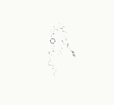 [N-]=[N+]=NCCC(=O)N[C@@H](CCCCN)C(=O)NC[C@H](NC(=O)C(CC(=O)O)NC(=O)C(CC(=O)O)NC(=O)Cc1ccc(CNC(=O)NCCCC[C@H](NC(=O)N[C@@H](CCC(=O)O)C(=O)O)C(=O)O)cc1)C(=O)O